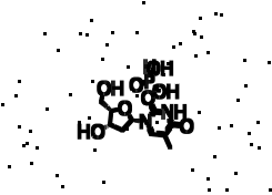 Cc1cn([C@H]2C[C@H](O)[C@@H](CO)O2)c(=O)[nH]c1=O.O=[PH](O)O